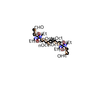 CCCCCCCC[Si]1(CCCCCCCC)c2cc3c(cc2-c2sc(-c4ccc(C5=C6C(=O)N(CC(CC)CCCC)C(c7ccc(-c8ccc(C=O)s8)s7)=C6C(=O)N5CC(CC)CCCC)s4)cc21)S(CCCCCCCC)(CCCCCCCC)c1cc(-c2ccc(C4=C5C(=O)N(CC(CC)CCCC)C(c6ccc(-c7ccc(C=O)s7)s6)=C5C(=O)N4CC(CC)CCCC)s2)sc1-3